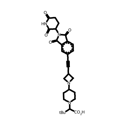 CC(C)(C)C(C(=O)O)N1CCC(N2CC(C#Cc3ccc4c(c3)C(=O)N(C3CCC(=O)NC3=O)C4=O)C2)CC1